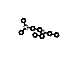 c1ccc(-c2ccc(-c3nc4ccc(-c5ccc(-c6nc(-c7ccccc7)nc(-c7ccccc7)n6)cc5)cc4c4c(-c5ccccc5)cccc34)cc2)cc1